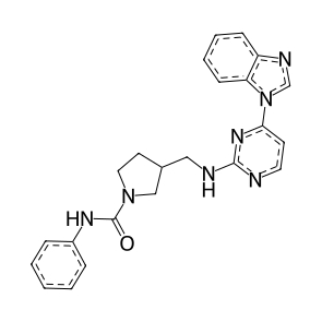 O=C(Nc1ccccc1)N1CCC(CNc2nccc(-n3cnc4ccccc43)n2)C1